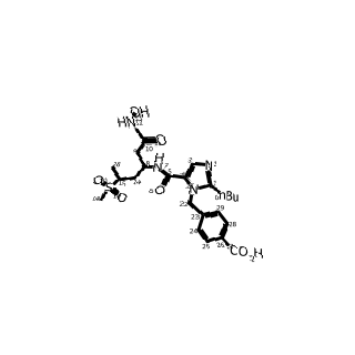 CCCCc1ncc(C(=O)NC(CC(=O)NO)CC(C)S(C)(=O)=O)n1Cc1ccc(C(=O)O)cc1